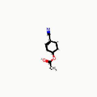 CC(=O)OC1CC=C(C#N)CC1